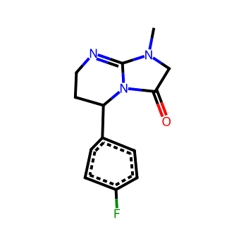 CN1CC(=O)N2C1=NCCC2c1ccc(F)cc1